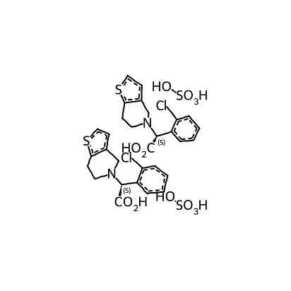 O=C(O)[C@H](c1ccccc1Cl)N1CCc2sccc2C1.O=C(O)[C@H](c1ccccc1Cl)N1CCc2sccc2C1.O=S(=O)(O)O.O=S(=O)(O)O